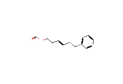 O=[C]OCC/C=C/CCc1ccccc1